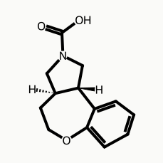 O=C(O)N1C[C@@H]2CCOc3ccccc3[C@H]2C1